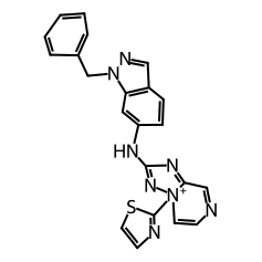 C1=C[N+]2(c3nccs3)N=C(Nc3ccc4cnn(Cc5ccccc5)c4c3)N=C2C=N1